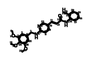 COc1cc(CNc2ccc(C=CC(=O)Nc3ccccc3N)cn2)cc(OC)c1OC